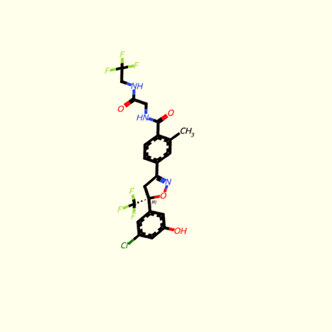 Cc1cc(C2=NO[C@](c3cc(O)cc(Cl)c3)(C(F)(F)F)C2)ccc1C(=O)NCC(=O)NCC(F)(F)F